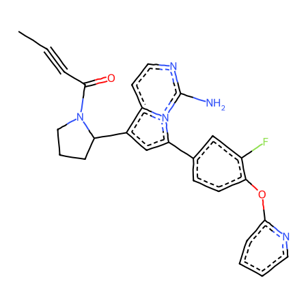 CC#CC(=O)N1CCCC1c1cc(-c2ccc(Oc3ccccn3)c(F)c2)n2c(N)nccc12